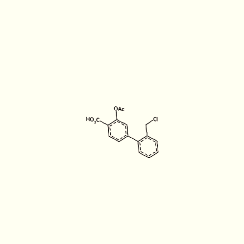 CC(=O)Oc1cc(-c2ccccc2CCl)ccc1C(=O)O